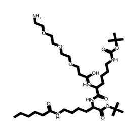 CCCCCC(=O)NCCCCC(NC(=O)C(CCCCNC(=O)OC(C)(C)C)NC(O)CCOCCOCCOCCN)C(=O)OC(C)(C)C